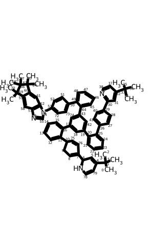 CC(C)(C)C1=CC(C2=CCC(c3ccccc3-c3cc(-c4ccccc4-c4ccc(-c5cc(C(C)(C)C)ccn5)cc4)cc(-c4ccccc4-c4ccc(-n5cnc6cc7c(cc65)C(C)(C)C(C)(C)C7(C)C)cc4)c3)C=C2)NC=C1